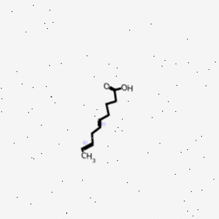 C/C=C/C/C=C/CCCC(=O)O